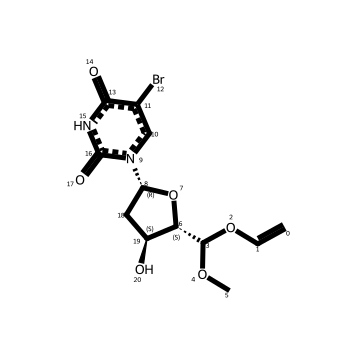 C=COC(OC)[C@H]1O[C@@H](n2cc(Br)c(=O)[nH]c2=O)C[C@@H]1O